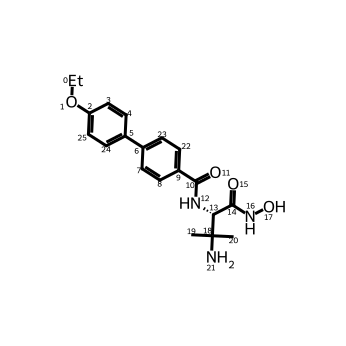 CCOc1ccc(-c2ccc(C(=O)N[C@H](C(=O)NO)C(C)(C)N)cc2)cc1